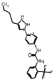 CCCCC1=CN(c2ccc(NC(=O)Nc3ccccc3C(F)(F)F)cn2)NN1